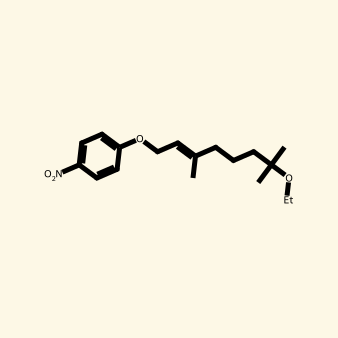 CCOC(C)(C)CCC/C(C)=C/COc1ccc([N+](=O)[O-])cc1